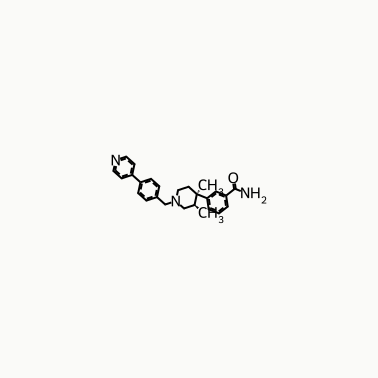 C[C@H]1CN(Cc2ccc(-c3ccncc3)cc2)CC[C@@]1(C)c1cccc(C(N)=O)c1